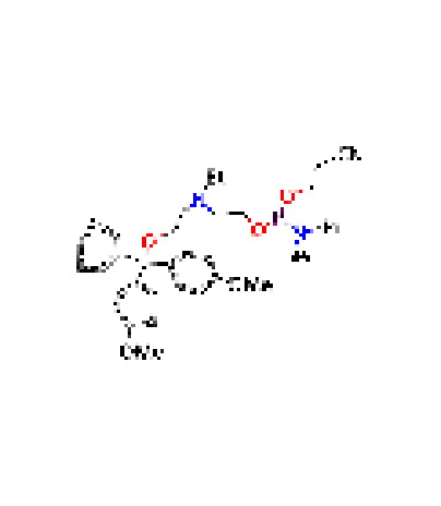 CCN(CCOP(OCCC#N)N(C(C)C)C(C)C)CCOC(c1ccccc1)(c1ccc(OC)cc1)c1ccc(OC)cc1